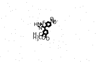 CC1(C)OC(=O)c2ccc(C(c3nc[nH]n3)c3ccc([N+](=O)[O-])cc3F)cc21